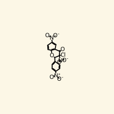 O=C1c2cc([N+](=O)[O-])ccc2OC(c2ccc([N+](=O)[O-])cc2)C1(Cl)[N+](=O)[O-]